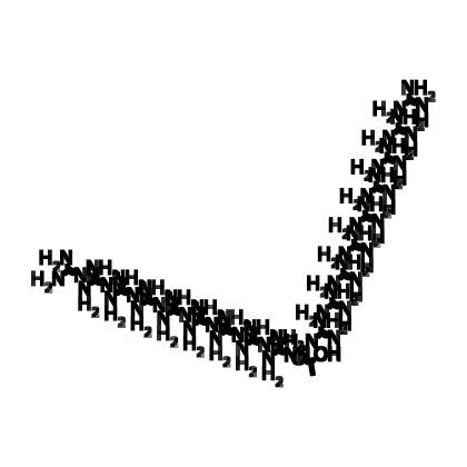 CC(=O)O.N=C(N)N.N=C(N)N.N=C(N)N.N=C(N)N.N=C(N)N.N=C(N)N.N=C(N)N.N=C(N)N.N=C(N)N.N=C(N)N.N=C(N)N.N=C(N)N.N=C(N)N.N=C(N)N.N=C(N)N.N=C(N)N.N=C(N)N.N=C(N)N